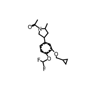 CC(=O)N1CC(c2ccc(OC(F)F)c(OCC3CC3)c2)CC1C